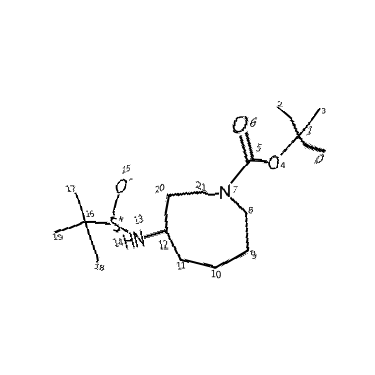 CC(C)(C)OC(=O)N1CCCCC(N[S+]([O-])C(C)(C)C)CC1